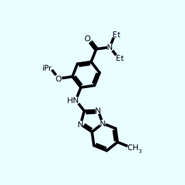 CCN(CC)C(=O)c1ccc(Nc2nc3ccc(C)cn3n2)c(OC(C)C)c1